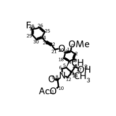 COc1ccc([C@@H]2CN(C(=O)COC(C)=O)C[C@@]2(C)[C@@H](C)O)cc1OCC#Cc1ccc(F)cc1